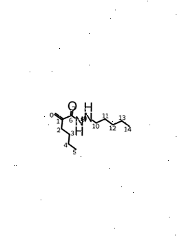 C=C(CCCC)C(=O)NNCCCCC